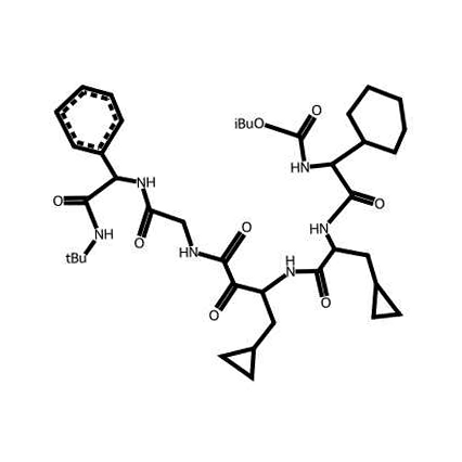 CC(C)COC(=O)NC(C(=O)NC(CC1CC1)C(=O)NC(CC1CC1)C(=O)C(=O)NCC(=O)NC(C(=O)NC(C)(C)C)c1ccccc1)C1CCCCC1